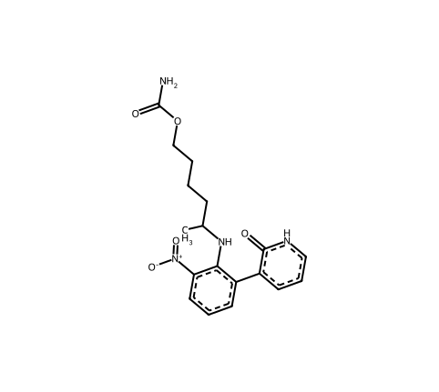 CC(CCCCOC(N)=O)Nc1c(-c2ccc[nH]c2=O)cccc1[N+](=O)[O-]